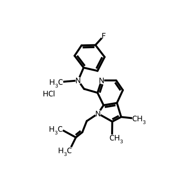 CC(C)=CCn1c(C)c(C)c2ccnc(CN(C)c3ccc(F)cc3)c21.Cl